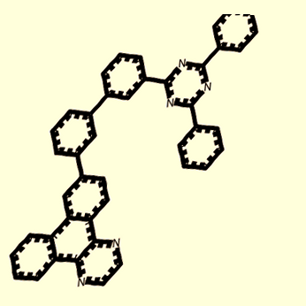 c1ccc(-c2nc(-c3ccccc3)nc(-c3cccc(-c4cccc(-c5ccc6c(c5)c5ccccc5c5nccnc65)c4)c3)n2)cc1